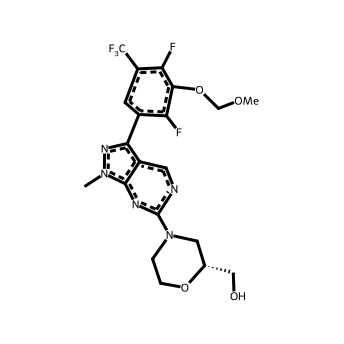 COCOc1c(F)c(-c2nn(C)c3nc(N4CCO[C@@H](CO)C4)ncc23)cc(C(F)(F)F)c1F